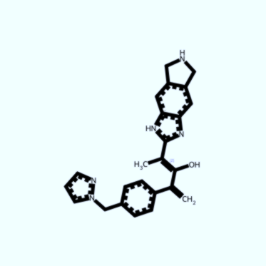 C=C(/C(O)=C(\C)c1nc2cc3c(cc2[nH]1)CNC3)c1ccc(Cn2cccn2)cc1